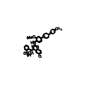 COc1cc(N2CCC(N3CCN(C)CC3)CC2)ccc1Nc1nc(Nc2ccccc2S(=O)(=O)C(C)C)c2cc(Cl)ccc2n1